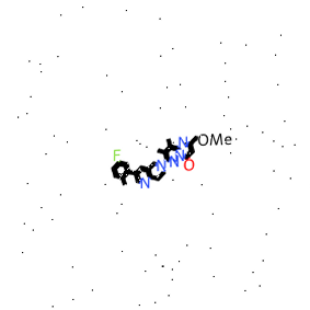 COCc1cc(=O)n2nc(N3CCc4ncc(-c5cc(F)ccc5C)cc4C3)c(C)c(C)c2n1